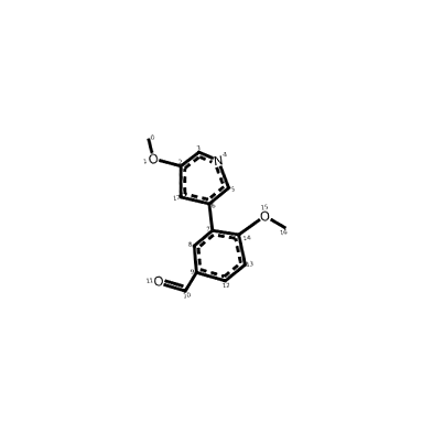 COc1cncc(-c2cc(C=O)ccc2OC)c1